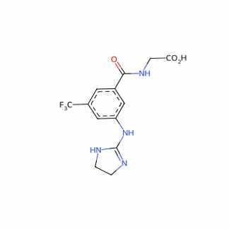 O=C(O)CNC(=O)c1cc(NC2=NCCN2)cc(C(F)(F)F)c1